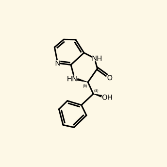 O=C1Nc2cccnc2N[C@@H]1[C@@H](O)c1ccccc1